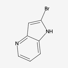 Brc1cc2ncccc2[nH]1